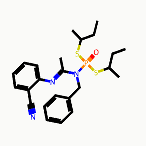 CCC(C)SP(=O)(SC(C)CC)N(Cc1ccccc1)C(C)=Nc1ccccc1C#N